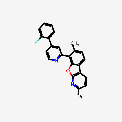 Cc1ccc2c(oc3nc(C(C)C)ccc32)c1-c1cc(-c2ccccc2F)ccn1